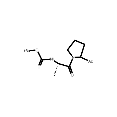 CC(=O)C1CCCN1C(=O)[C@H](C)NC(=O)OC(C)(C)C